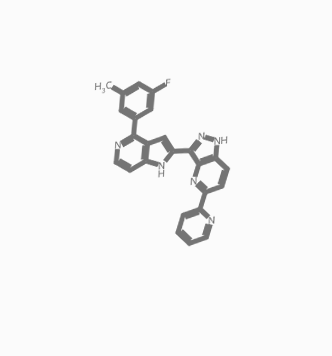 Cc1cc(F)cc(-c2nccc3[nH]c(-c4n[nH]c5ccc(-c6ccccn6)nc45)cc23)c1